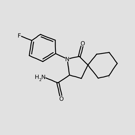 NC(=O)C1CC2(C[CH]CCC2)C(=O)N1c1ccc(F)cc1